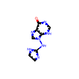 O=c1nc[nH]c2c1ncn2Nc1ncc[nH]1